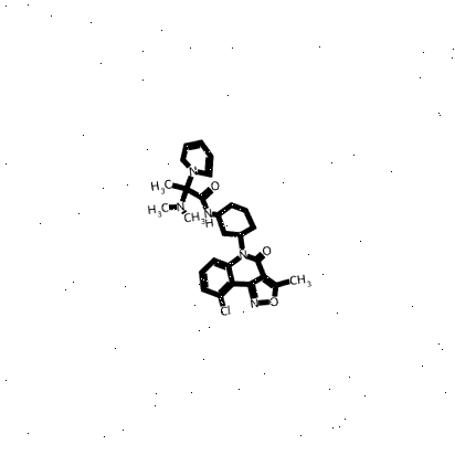 Cc1onc2c1c(=O)n(C1CCCC(NC(=O)C(C)(N(C)C)N3C=CC=CC3)C1)c1cccc(Cl)c21